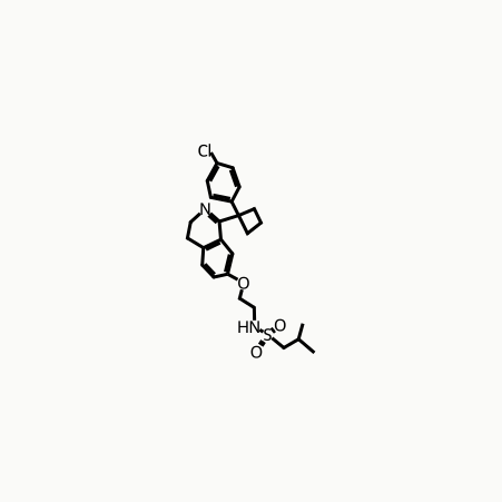 CC(C)CS(=O)(=O)NCCOc1ccc2c(c1)C(C1(c3ccc(Cl)cc3)CCC1)=NCC2